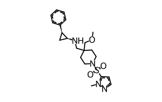 COCC1(CN[C@H]2C[C@H]2c2ccccc2)CCN(S(=O)(=O)c2ccnn2C)CC1